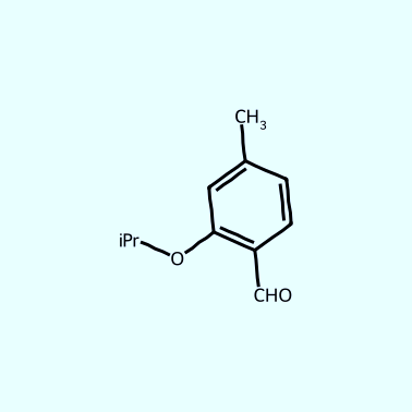 Cc1ccc(C=O)c(OC(C)C)c1